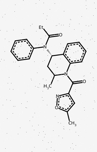 CCC(=O)N(c1ccccc1)[C@H]1CC(C)N(C(=O)c2cc(C)on2)c2ccccc21